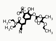 CCOC(=O)C(C)OC(=O)Oc1cc(C=C(C#N)C(=O)N(CC)CC)cc([N+](=O)[O-])c1O